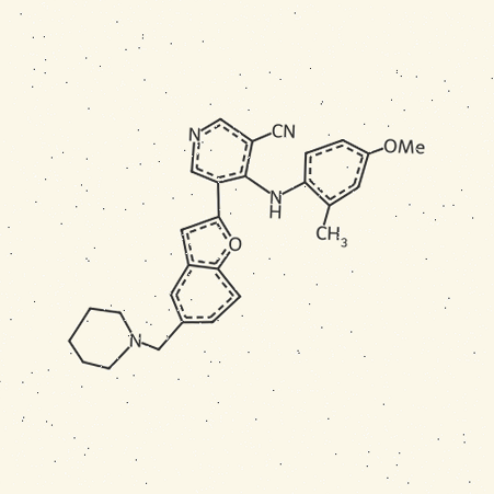 COc1ccc(Nc2c(C#N)cncc2-c2cc3cc(CN4CCCCC4)ccc3o2)c(C)c1